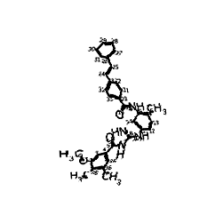 COc1cc(C(=O)NC(=N)Nc2ccc(C)c(NC(=O)c3ccc(/C=C/c4ccccc4)cc3)c2)cc(C)c1C